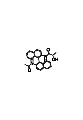 CC(=O)Nc1ccc2ccccc2c1-c1c(NC(=O)C(C)O)ccc2ccccc12